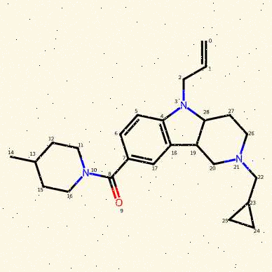 C=CCN1c2ccc(C(=O)N3CCC(C)CC3)cc2C2CN(CC3CC3)CCC21